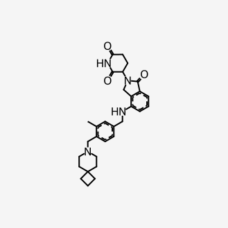 Cc1cc(CNc2cccc3c2CN(C2CCC(=O)NC2=O)C3=O)ccc1CN1CCC2(CCC2)CC1